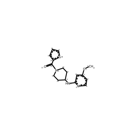 COc1ccnc(NC2CCN(C(=O)c3cccs3)CC2)c1